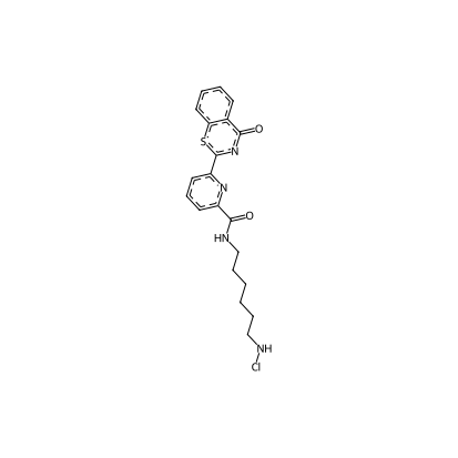 O=C(NCCCCCCNCl)c1cccc(-c2nc(=O)c3ccccc3s2)n1